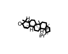 CC(C)[C@@H]1CC[C@]2(C)CC[C@]3(C)[C@H](CC[C@@H]4[C@@]5(C)C=CC(=O)C(C)(C)[C@@H]5CC[C@]43C)[C@@H]12